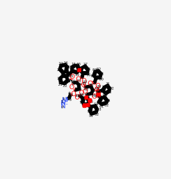 [N-]=[N+]=NCCO[C@H]1O[C@H](COC(c2ccccc2)(c2ccccc2)c2ccccc2)[C@@H](OC(=O)c2ccccc2)[C@H](O[C@@H]2O[C@H](COC(=O)c3ccccc3)[C@@H](OC(=O)c3ccccc3)[C@H](OC(=O)c3ccccc3)[C@@H]2OC(=O)c2ccccc2)[C@@H]1OC(=O)c1ccccc1